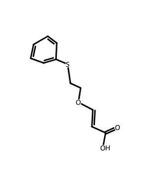 O=C(O)C=COCCSc1ccccc1